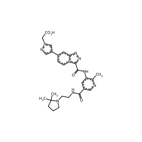 Cc1ncc(C(=O)NCCN2CCCC2(C)C)cc1NC(=O)c1nnc2cc(-c3cnn(CC(=O)O)c3)ccn12